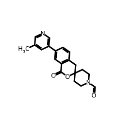 Cc1cncc(-c2ccc3c(c2)C(=O)OC2(CCN(C=O)CC2)C3)c1